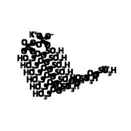 O=S(=O)(O)OOS(=O)(=O)O.O=S(=O)(O)OOS(=O)(=O)O.O=S(=O)(O)OOS(=O)(=O)O.O=S(=O)(O)OOS(=O)(=O)O.O=S(=O)(O)OOS(=O)(=O)O.O=S(=O)(O)OOS(=O)(=O)O.O=S(=O)(O)OOS(=O)(=O)O.O=S(=O)(O)OOS(=O)(=O)O.O=S(=O)([O-])OOS(=O)(=O)[O-].[K+].[K+]